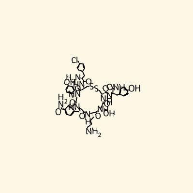 NCCCC[C@@H]1NC(=O)[C@@H](Cc2ccc(C(N)=O)cc2)NC(=O)[C@H](Cc2ccc(O)cc2)NC(=O)[C@H](NC(=O)[C@@H](N)Cc2ccc(Cl)cc2)CSSC[C@@H](C(=O)NC(Cc2ccc(O)cc2)C(N)=O)NC(=O)[C@H](CO)NC1=O